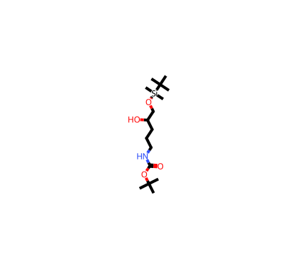 CC(C)(C)OC(=O)NCCCC(O)CO[Si](C)(C)C(C)(C)C